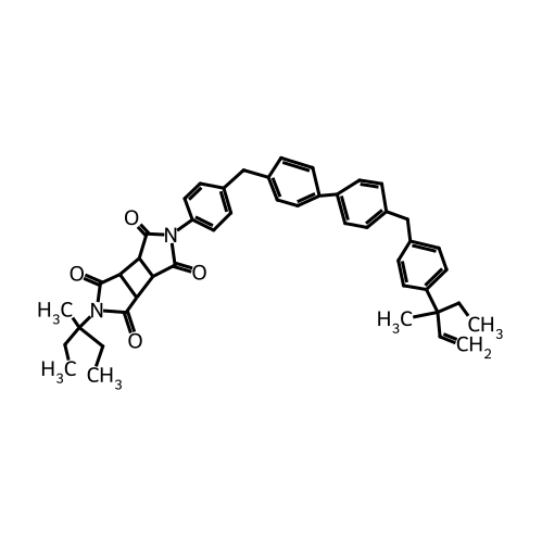 C=CC(C)(CC)c1ccc(Cc2ccc(-c3ccc(Cc4ccc(N5C(=O)C6C(C5=O)C5C(=O)N(C(C)(CC)CC)C(=O)C65)cc4)cc3)cc2)cc1